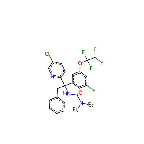 CCN(CC)C(=O)NC(Cc1ccccc1)(c1cc(F)cc(OC(F)(F)C(F)F)c1)c1ccc(Cl)cn1